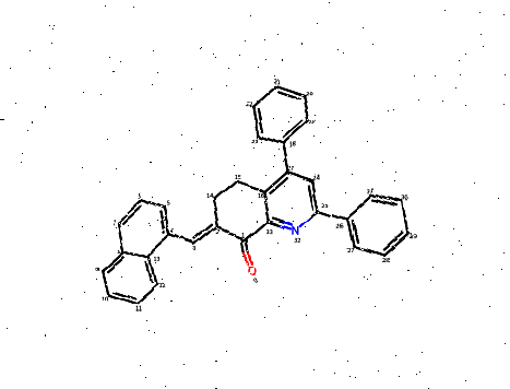 O=C1/C(=C/c2cccc3ccccc23)CCc2c(-c3ccccc3)cc(-c3ccccc3)nc21